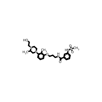 Cc1c(OCCCNC(=O)c2cccc(NS(C)(=O)=O)c2)cccc1N1CCN(CCO)C(C)C1